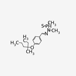 CCCC(C)(CC)Oc1ccc(/C=N/N(C)[PH](C)=S)cc1